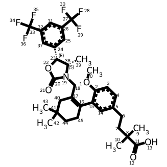 COc1ccc(CCC(C)(C)C(=O)O)cc1C1=C(CN2C(=O)O[C@H](c3cc(C(F)(F)F)cc(C(F)(F)F)c3)[C@@H]2C)CC(C)(C)CC1